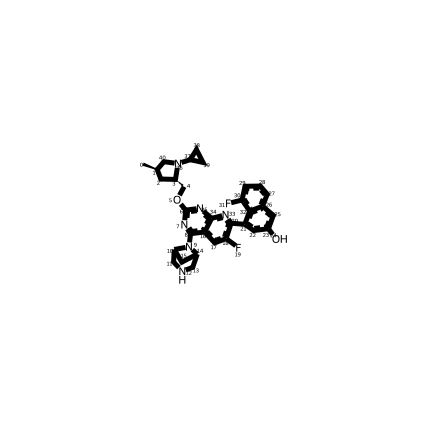 C[C@@H]1C[C@@H](COc2nc(N3C4CNCC3C4)c3cc(F)c(-c4cc(O)cc5cccc(F)c45)nc3n2)N(C2CC2)C1